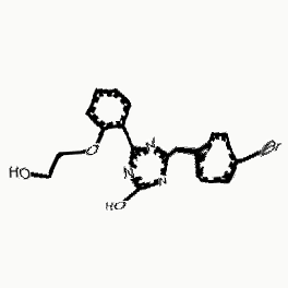 OCCOc1ccccc1-c1nc(O)nc(-c2ccc(Br)cc2)n1